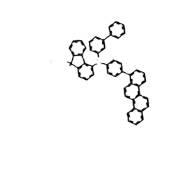 CC1(C)c2ccccc2-c2c(N(c3ccc(-c4cccc5c4ccc4c6ccccc6ccc54)cc3)c3cccc(-c4ccccc4)c3)cccc21